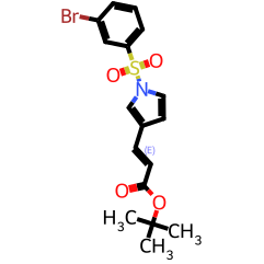 CC(C)(C)OC(=O)/C=C/c1ccn(S(=O)(=O)c2cccc(Br)c2)c1